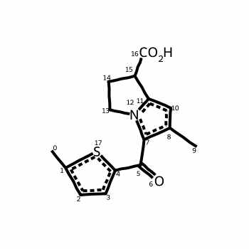 Cc1ccc(C(=O)c2c(C)cc3n2CCC3C(=O)O)s1